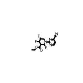 CCOC(=O)C1C(F)C(F)CN(c2nccc(C#N)n2)C1F